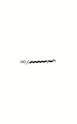 CC(C)CCSCCCCCCCCCCC(=O)O